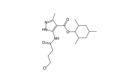 Cc1n[nH]c(NC(=O)CCCCl)c1C(=O)OC1C(C)CC(C)CC1C